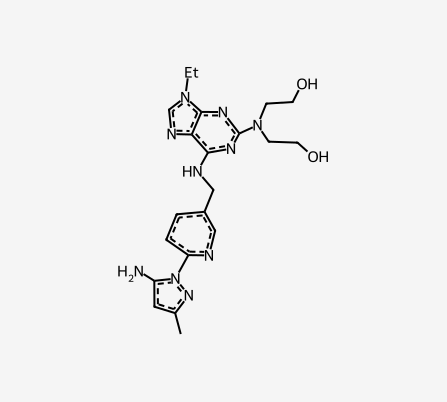 CCn1cnc2c(NCc3ccc(-n4nc(C)cc4N)nc3)nc(N(CCO)CCO)nc21